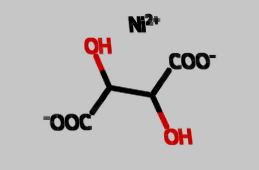 O=C([O-])C(O)C(O)C(=O)[O-].[Ni+2]